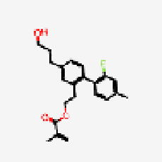 C=C(C)C(=O)OCCc1cc(CCCO)ccc1-c1ccc(C)cc1F